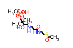 COP(=O)(O)OCC(C)(C)[C@@H](O)C(=O)NCCC(=O)NCCSC(C)=O